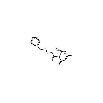 CC1=CC(=O)C(C(=O)CCCCc2ccccc2)C(=O)O1